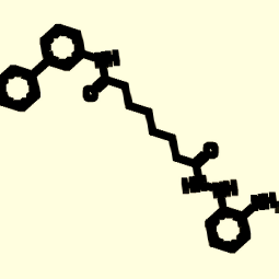 Nc1ccccc1NNC(=O)CCCCCCC(=O)Nc1cccc(-c2ccccc2)c1